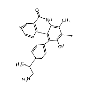 Cc1c(F)c(O)c(-c2ccc(C(C)CN)cc2)c2c1[nH]c(=O)c1cnccc12